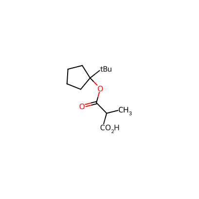 CC(C(=O)O)C(=O)OC1(C(C)(C)C)CCCC1